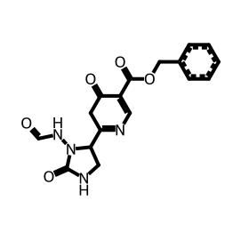 O=CNN1C(=O)NCC1C1=NC=C(C(=O)OCc2ccccc2)C(=O)C1